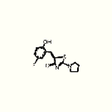 O=C1N=C(N2CCCC2)SC1=Cc1cc(F)ccc1O